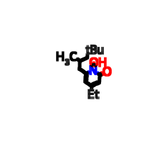 CCc1cc(CC(C)CC(C)(C)C)n(O)c(=O)c1